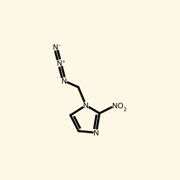 [N-]=[N+]=NCn1ccnc1[N+](=O)[O-]